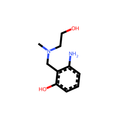 CN(CCO)Cc1c(N)cccc1O